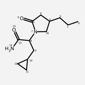 CCCC1CC(=O)N(C(CC2CC2)C(N)=O)C1